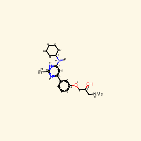 CNCC(O)COc1cccc(-c2cc(N(C)C3CCCCC3)nc(C(C)C)n2)c1